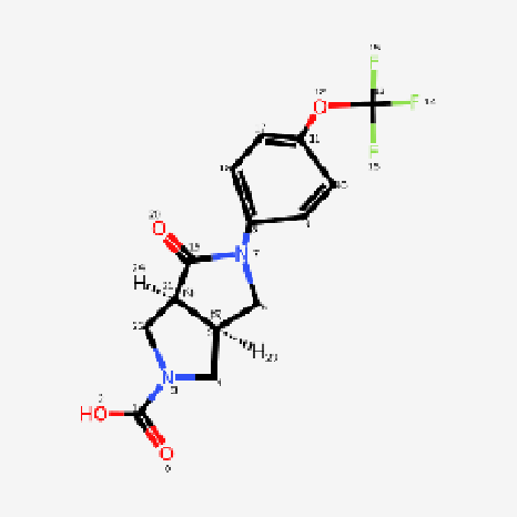 O=C(O)N1C[C@@H]2CN(c3ccc(OC(F)(F)F)cc3)C(=O)[C@@H]2C1